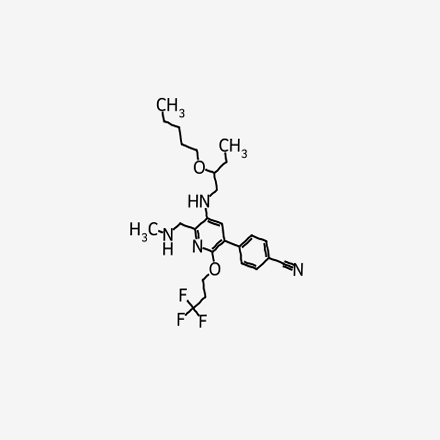 CCCCCOC(CC)CNc1cc(-c2ccc(C#N)cc2)c(OCCC(F)(F)F)nc1CNC